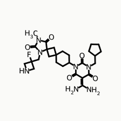 CN1C(=O)N(CC2(F)CNC2)C2(CC3(CCC(N4C(=O)C(=C(N)N)C(=O)N(CC5CCCC5)C4=O)CC3)C2)C1=O